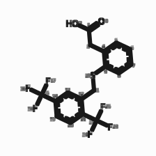 O=C(O)Cc1ccccc1SCc1cc(C(F)(F)F)ccc1C(F)(F)F